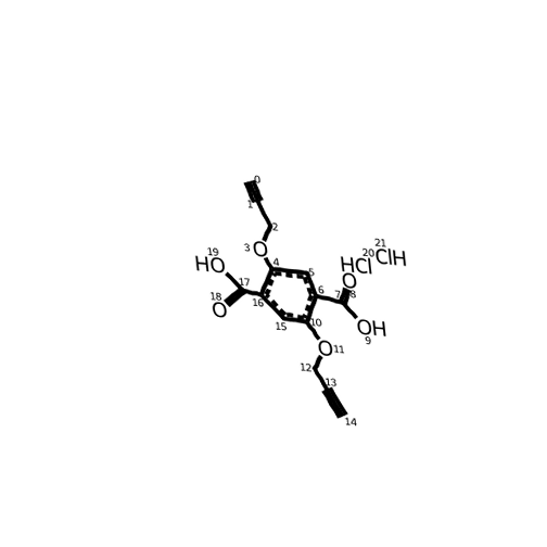 C#CCOc1cc(C(=O)O)c(OCC#C)cc1C(=O)O.Cl.Cl